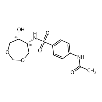 CC(=O)Nc1ccc(S(=O)(=O)N[C@@H]2COCOC[C@@H]2O)cc1